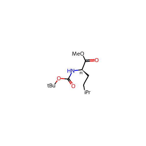 COC(=O)[C@@H](CCC(C)C)NC(=O)OC(C)(C)C